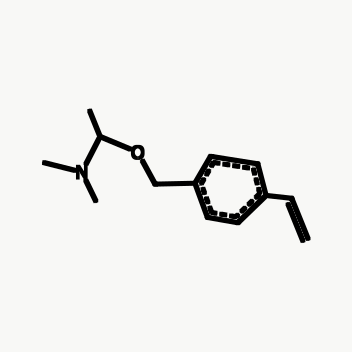 C=Cc1ccc(COC(C)N(C)C)cc1